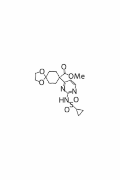 COC(=O)C1(c2ccnc(NS(=O)(=O)C3CC3)n2)CCC2(CC1)OCCO2